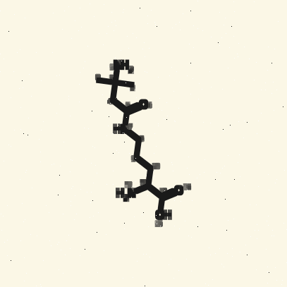 CC(C)(N)CC(=O)NCCCC(N)C(=O)O